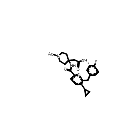 CC(=O)N1CCC(CC(N)=O)(NC(=O)c2ccc(C3CC3)c(Cc3ccc(F)cc3)n2)CC1